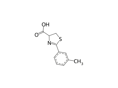 Cc1cccc(C2=NC(C(=O)O)CS2)c1